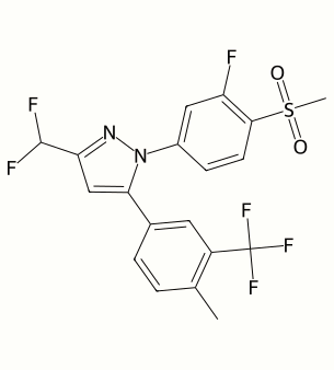 Cc1ccc(-c2cc(C(F)F)nn2-c2ccc(S(C)(=O)=O)c(F)c2)cc1C(F)(F)F